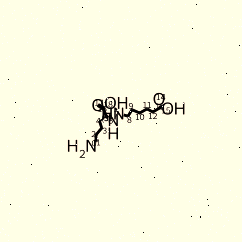 NCCCC[C@H](NNCCCCCC(=O)O)C(=O)O